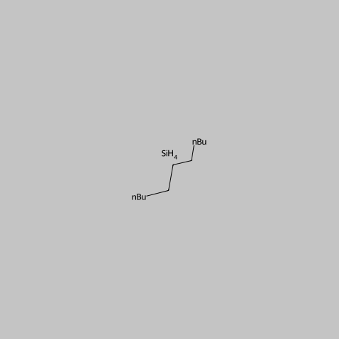 CCCCCCCCCCC.[SiH4]